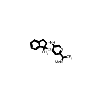 CNC(c1ccc(N[C@H]2Cc3ccccc3C2(C)C)cn1)C(F)(F)F